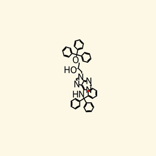 O[C@H](COC(c1ccccc1)(c1ccccc1)c1ccccc1)Cn1cnc2c(NC(c3ccccc3)(c3ccccc3)c3ccccc3)ncnc21